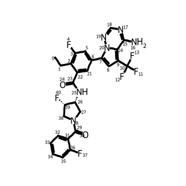 CCc1c(F)cc(-c2cc(C(F)(F)F)c3c(N)ncnn23)cc1C(=O)N[C@@H]1CN(C(=O)c2ccccc2F)C[C@@H]1F